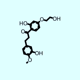 COc1ccc(CCC(=O)c2ccc(OCCO)cc2O)cc1O